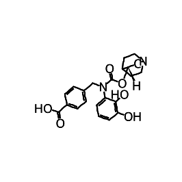 O=C(O)c1ccc(CN(C(=O)O[C@H]2CN3CCC2CC3)c2cccc(O)c2O)cc1